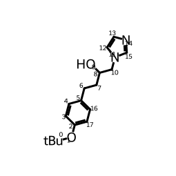 CC(C)(C)Oc1ccc(CCC(O)Cn2ccnc2)cc1